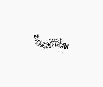 CC[C@H]1CN(c2ncc(NC3=NS(=O)(=O)N=C3N)cc2Cl)CCN1C1CCN(Cc2ccc(OC(F)(F)F)cc2)CC1